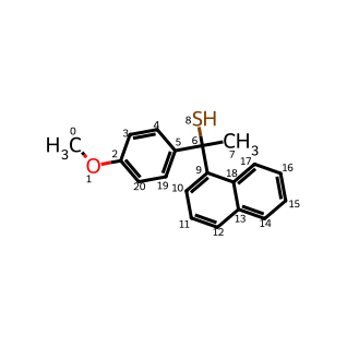 COc1ccc(C(C)(S)c2cccc3ccccc23)cc1